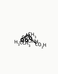 CC(=NOCC(Oc1ccc(C)c(C)c1)c1cccc(Cl)c1)c1ccc(CNCCC(=O)O)cc1